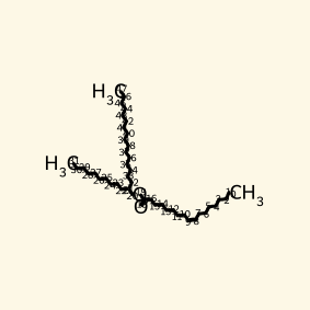 CCCCCCCC/C=C\CCCCCCCC(=O)OCC(CCCCCCCCCC)CCCCCCCCCCCCCCCC